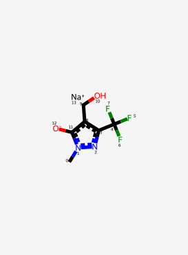 Cn1nc(C(F)(F)F)c(CO)c1[O-].[Na+]